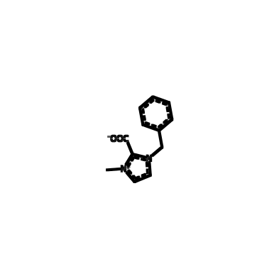 C[n+]1ccn(Cc2ccccc2)c1C(=O)[O-]